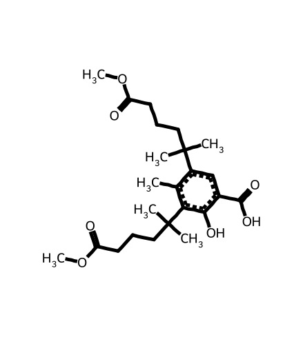 COC(=O)CCCC(C)(C)c1cc(C(=O)O)c(O)c(C(C)(C)CCCC(=O)OC)c1C